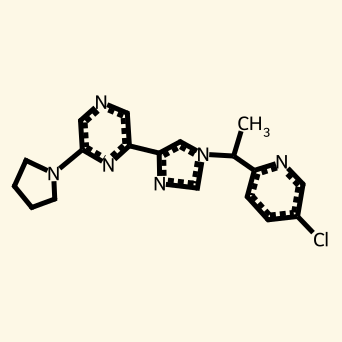 CC(c1ccc(Cl)cn1)n1cnc(-c2cncc(N3CCCC3)n2)c1